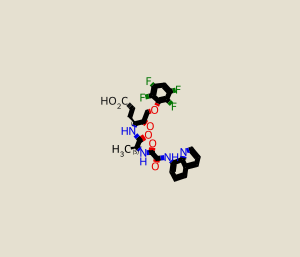 C[C@H](NC(=O)C(=O)Nc1cccc2cccnc12)C(=O)N[C@@H](CCC(=O)O)C(=O)COc1c(F)c(F)cc(F)c1F